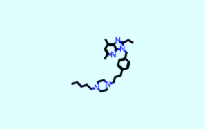 CCCCCN1CCN(CCCc2ccc(Cn3c(CC)nc4c(C)cc(C)nc43)cc2)CC1